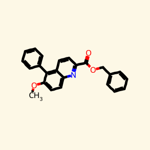 COc1ccc2nc(C(=O)OCc3ccccc3)ccc2c1-c1ccccc1